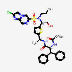 COC(=O)N[C@H](C(=O)N[C@H](c1ccc([C@@H](CO)N(CCC(C)(C)C)S(=O)(=O)c2cn3cc(Cl)nc3cn2)s1)C(F)(F)F)C(c1ccccc1)c1ccccc1